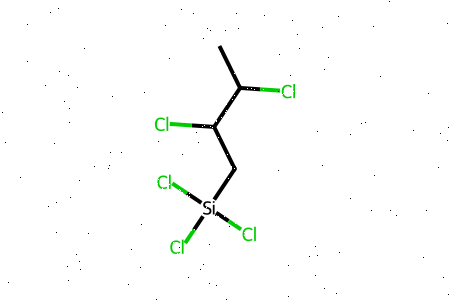 CC(Cl)C(Cl)C[Si](Cl)(Cl)Cl